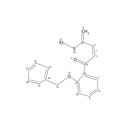 C=C(/C=C\C(=O)c1ccccc1OCc1ccccc1)SCC